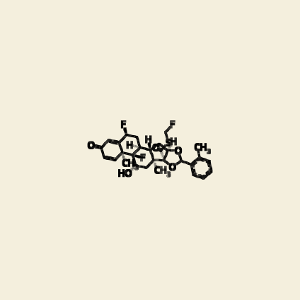 Cc1ccccc1C1O[C@@H]2C[C@H]3[C@@H]4C[C@H](F)C5=CC(=O)C=C[C@]5(C)[C@@]4(F)[C@@H](O)C[C@]3(C)[C@]2(C(=O)SCF)O1